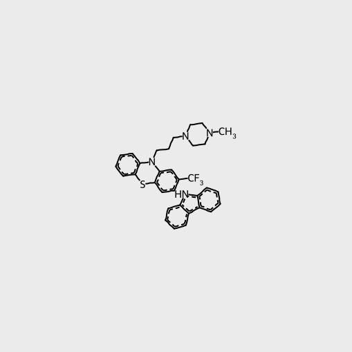 CN1CCN(CCCN2c3ccccc3Sc3ccc(C(F)(F)F)cc32)CC1.c1ccc2c(c1)[nH]c1ccccc12